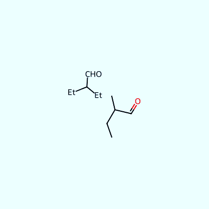 CCC(C)C=O.CCC(C=O)CC